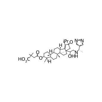 CC(C)C1=C2[C@H]3CC[C@@H]4[C@@]5(C)CC[C@H](OC(=O)CC(C)(C)C(=O)O)C(C)(C)[C@@H]5CC[C@@]4(C)[C@]3(C)CCC2(C(O)CN[C@@H](C)c2cncnc2)CC1=O